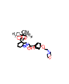 CC1(C)OB(c2cccc3nn(C[C@H](O)c4ccc(OCCN5CCOCC5)cc4)cc23)OC1(C)C